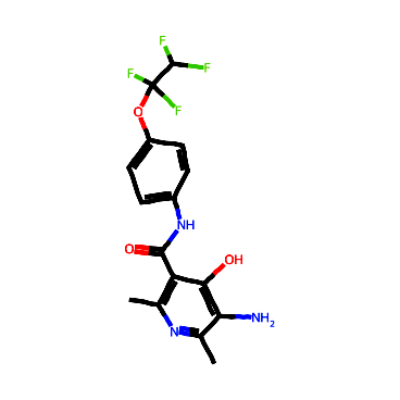 Cc1nc(C)c(C(=O)Nc2ccc(OC(F)(F)C(F)F)cc2)c(O)c1N